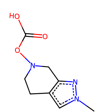 Cn1cc2c(n1)CN(OC(=O)O)CC2